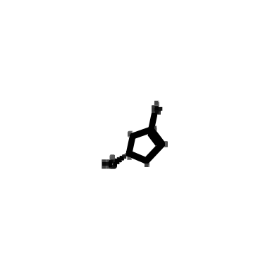 O[C@H]1CC=C(Br)C1